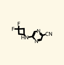 N#Cc1cnc(NC2CC(F)(F)C2)cn1